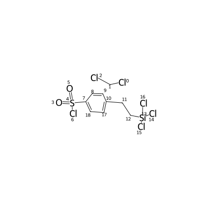 ClCCl.O=S(=O)(Cl)c1ccc(CC[Si](Cl)(Cl)Cl)cc1